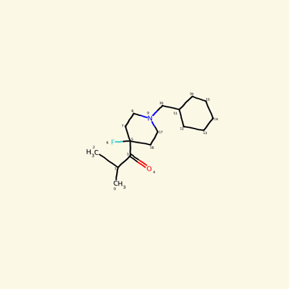 CC(C)C(=O)C1(F)CCN(CC2CCCCC2)CC1